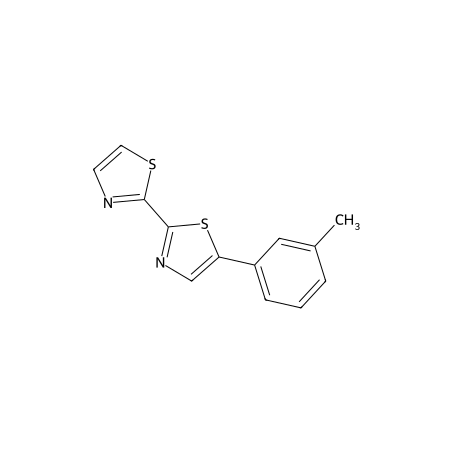 Cc1cccc(-c2cnc(-c3nccs3)s2)c1